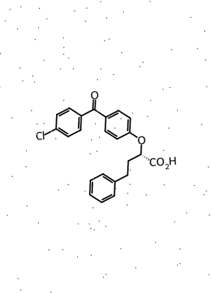 O=C(c1ccc(Cl)cc1)c1ccc(O[C@@H](CCc2ccccc2)C(=O)O)cc1